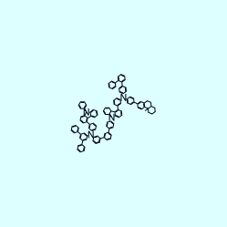 CC12CCCCC1CCc1cc(-c3ccc(N(c4ccc(-c5ccccc5-c5ccccc5)cc4)c4cccc(-c5cccc6c5C5C=CC=CC5N6c5ccc(-c6cccc(C7=C=C=CC(N(c8cc(-c9ccccc9)cc(-c9ccccc9)c8)c8cccc(-c9cccc%10c9c9ccccc9n%10-c9ccccc9)c8)=C7)c6)cc5)c4)cc3)ccc12